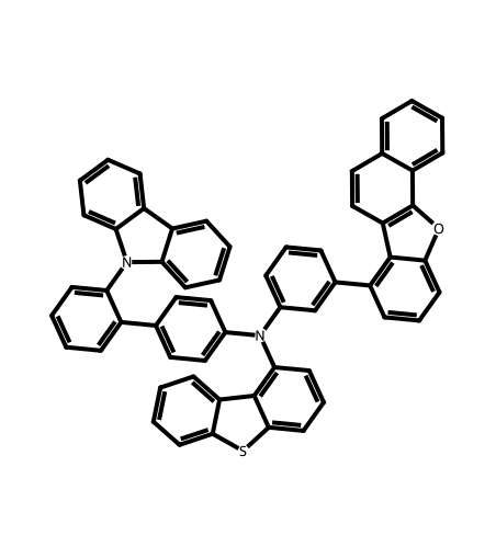 c1cc(-c2cccc3oc4c5ccccc5ccc4c23)cc(N(c2ccc(-c3ccccc3-n3c4ccccc4c4ccccc43)cc2)c2cccc3sc4ccccc4c23)c1